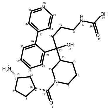 N[C@H]1CC[C@@H](C(=O)N2CCCC(C(O)(CCCNC(=O)O)c3ccccc3-c3ccncc3)C2)C1